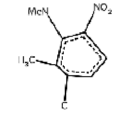 CNc1c([N+](=O)[O-])ccc(Cl)c1C